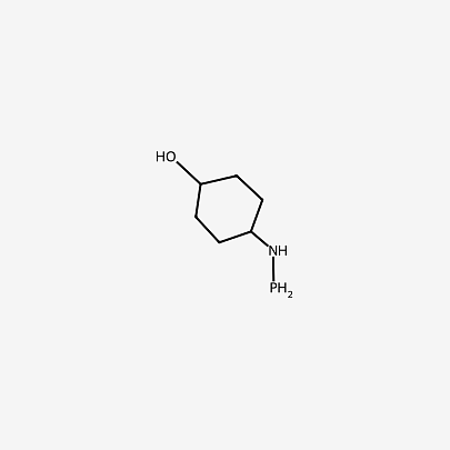 OC1CCC(NP)CC1